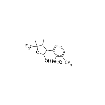 COc1c(C2C(O)OC(C)(C(F)(F)F)C2C)cccc1C(F)(F)F